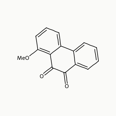 COc1cccc2c1C(=O)C(=O)c1ccccc1-2